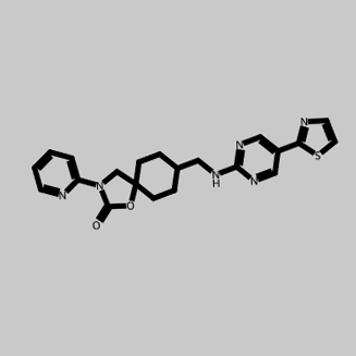 O=C1OC2(CCC(CNc3ncc(-c4nccs4)cn3)CC2)CN1c1ccccn1